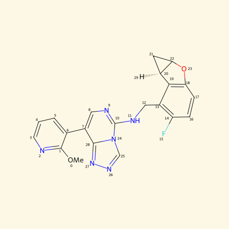 COc1ncccc1-c1cnc(NCc2c(F)ccc3c2[C@H]2CC2O3)n2cnnc12